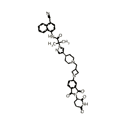 CC(C)(C(=O)Nc1ccc(C#N)c2ccccc12)n1cc(C2CCN(CC3CN(c4ccc5c(c4)C(=O)N(C4CCC(=O)NC4=O)C5=O)C3)CC2)cn1